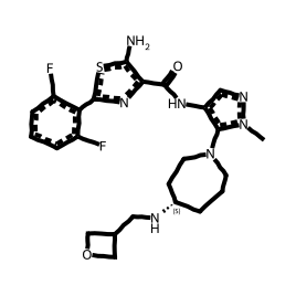 Cn1ncc(NC(=O)c2nc(-c3c(F)cccc3F)sc2N)c1N1CCC[C@H](NCC2COC2)CC1